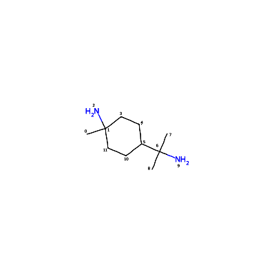 CC1(N)C[CH]C(C(C)(C)N)CC1